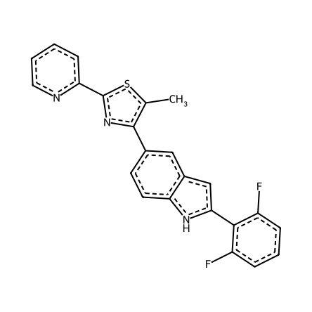 Cc1sc(-c2ccccn2)nc1-c1ccc2[nH]c(-c3c(F)cccc3F)cc2c1